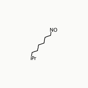 CC(C)CCCCCCN=O